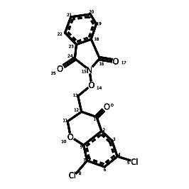 O=C1c2cc(Cl)cc(Cl)c2OCC1CON1C(=O)c2ccccc2C1=O